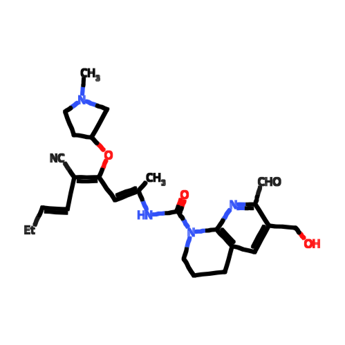 CC/C=C/C(C#N)=C(\C=C(/C)NC(=O)N1CCCc2cc(CO)c(C=O)nc21)OC1CCN(C)C1